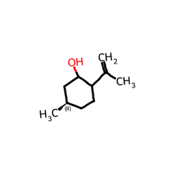 C=C(C)C1CC[C@@H](C)CC1O